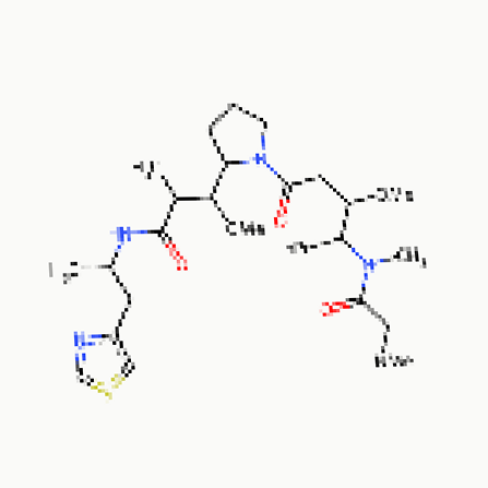 CCCC(C(CC(=O)N1CCCC1C(OC)C(C)C(=O)NC(C)Cc1cscn1)OC)N(C)C(=O)CNC